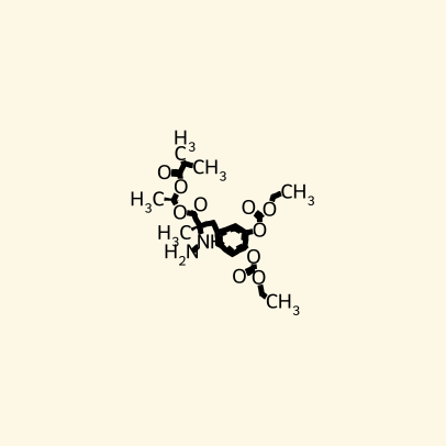 CCOC(=O)Oc1ccc(C[C@](C)(NN)C(=O)O[C@@H](C)OC(=O)C(C)C)cc1OC(=O)OCC